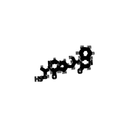 CC(SS)n1ncn2cc(CC(C)n3c(=O)cnc4ccccc43)cc2c1=O